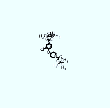 CC(C)(C)OC(=O)N1CCC(Oc2ccc(B3OC(C)(C)C(C)(C)O3)cc2Cl)CC1